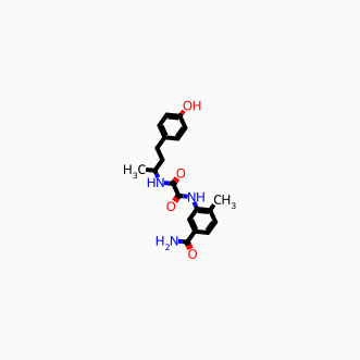 Cc1ccc(C(N)=O)cc1NC(=O)C(=O)NC(C)CCc1ccc(O)cc1